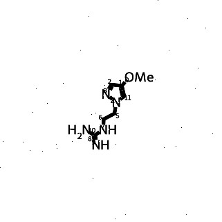 COc1cnn(CCNC(=N)N)c1